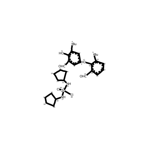 CC(C)(C)c1cccc(C=O)c1O.CC(C)(C)c1cccc(C=O)c1O.[Cl][Zr]([Cl])([NH]C1CCCC1)[NH]C1CCCC1